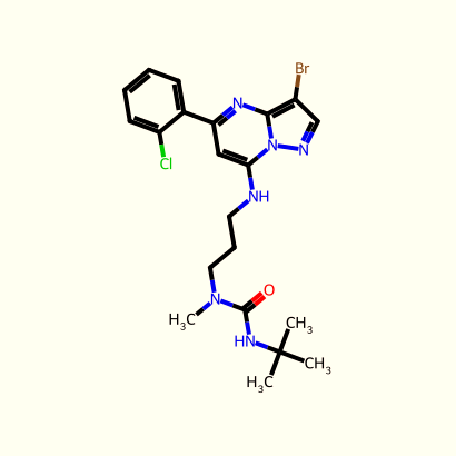 CN(CCCNc1cc(-c2ccccc2Cl)nc2c(Br)cnn12)C(=O)NC(C)(C)C